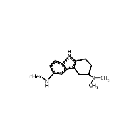 CCCCCCNc1ccc2[nH]c3c(c2c1)CC(N(C)C)CC3